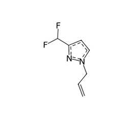 C=CCn1ccc(C(F)F)n1